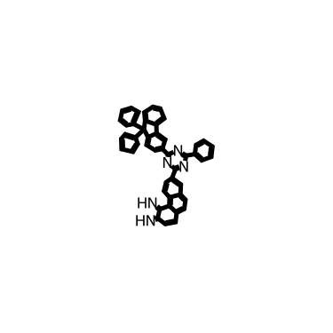 N=C1C=Cc2ccc3cc(-c4nc(-c5ccccc5)nc(-c5ccc6c(c5)-c5ccccc5C6(c5ccccc5)c5ccccc5)n4)ccc3c2C1=N